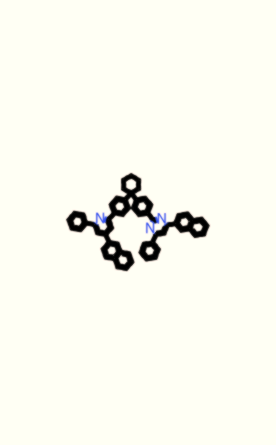 c1ccc(-c2cc(-c3ccc4ccccc4c3)cc(-c3ccc(C4(c5ccc(-c6nc(-c7ccccc7)cc(-c7ccc8ccccc8c7)n6)cc5)CCCCC4)cc3)n2)cc1